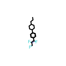 CCCC1CCC(c2ccc(/C(F)=C(\F)CF)cc2)CC1